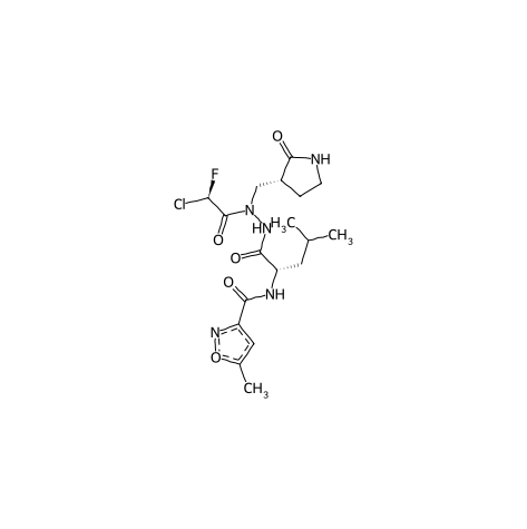 Cc1cc(C(=O)N[C@@H](CC(C)C)C(=O)NN(C[C@H]2CCNC2=O)C(=O)[C@H](F)Cl)no1